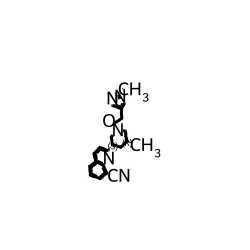 C[C@@H]1C[C@H](c2ccc3cccc(C#N)c3n2)CN(C(=O)Cc2cnn(C)c2)C1